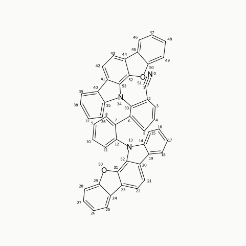 N#Cc1cccc(-c2ccccc2-n2c3ccccc3c3ccc4c5ccccc5oc4c32)c1-n1c2ccccc2c2ccc3c4ccccc4oc3c21